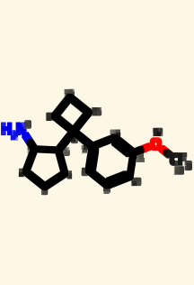 NC1CCCC1C1(c2cccc(OC(F)(F)F)c2)CCC1